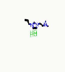 C=CCN1C=CN(CCN(C)C)C1.Cl.Cl